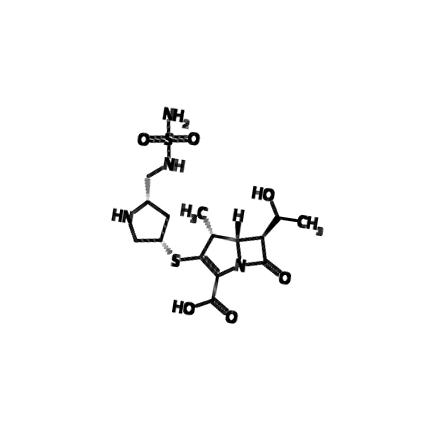 CC(O)[C@H]1C(=O)N2C(C(=O)O)=C(S[C@@H]3CN[C@H](CNS(N)(=O)=O)C3)[C@H](C)[C@H]12